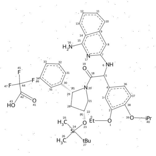 CCOc1cc(C(Nc2cc3ccccc3c(N)n2)C(=O)N2C[C@H](O[Si](C)(C)C(C)(C)C)C[C@@H]2c2ccccc2)ccc1OC(C)C.O=C(O)C(F)(F)F